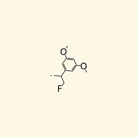 [CH2]C(CF)c1cc(OC)cc(OC)c1